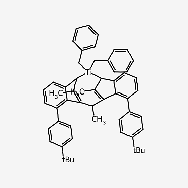 CC1=C2c3c(-c4ccc(C(C)(C)C)cc4)cccc3[CH]1[Ti]([CH2]c1ccccc1)([CH2]c1ccccc1)[CH]1C(C)=C(c3c(-c4ccc(C(C)(C)C)cc4)cccc31)C2C